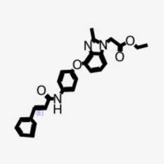 CCOC(=O)Cn1c(C)nc2c(Oc3ccc(NC(=O)/C=C/c4ccccc4)cc3)cccc21